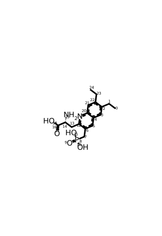 CCc1cc2cc(CP(=O)(O)O)c(C[C@@H](N)C(=O)O)nc2cc1CC